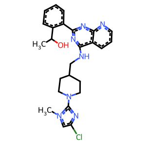 CC(O)c1ccccc1-c1nc(NCC2CCN(c3nc(Cl)cn3C)CC2)c2cccnc2n1